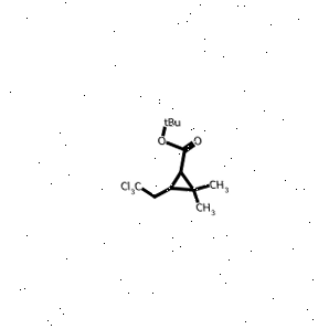 CC(C)(C)OC(=O)C1C(CC(Cl)(Cl)Cl)C1(C)C